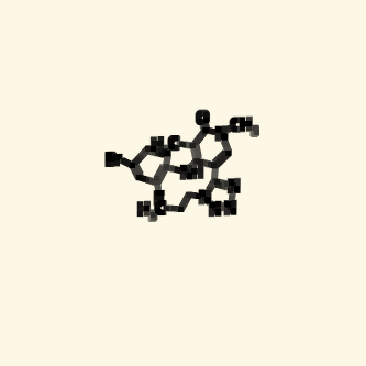 CCCn1nnnc1-c1cn(C)c(=O)c(C)c1Nc1ccc(Br)cc1F